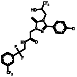 C=C1N(CC(=O)NCC(F)(F)c2cccc(C(F)(F)F)c2)N=C(c2ccc(Cl)cc2)N1CC(O)C(F)(F)F